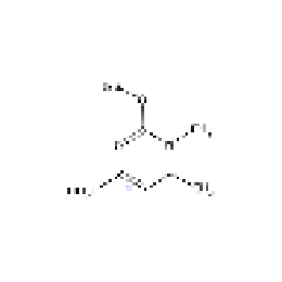 CC(/C=C/C(=O)O)N(C)C(=O)OC(C)(C)C